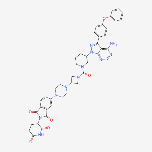 Nc1ncnc2c1c(-c1ccc(Oc3ccccc3)cc1)nn2C1CCCN(C(=O)N2CC(N3CCN(c4ccc5c(c4)C(=O)N(C4CCC(=O)NC4=O)C5=O)CC3)C2)C1